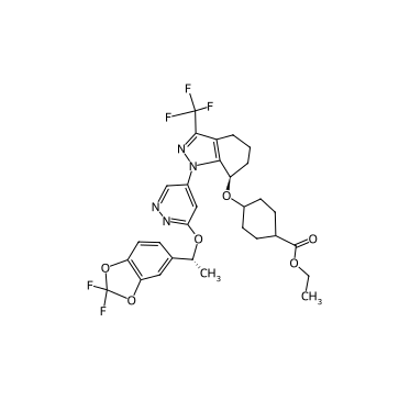 CCOC(=O)C1CCC(O[C@@H]2CCCc3c(C(F)(F)F)nn(-c4cnnc(O[C@H](C)c5ccc6c(c5)OC(F)(F)O6)c4)c32)CC1